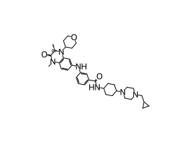 C[C@@H]1C(=O)N(C)c2ccc(Nc3cccc(C(=O)NC4CCC(N5CCN(CC6CC6)CC5)CC4)c3)cc2N1C1CCOCC1